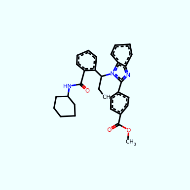 CCC(c1ccccc1C(=O)NC1CCCCC1)n1c(-c2ccc(C(=O)OC)cc2)nc2ccccc21